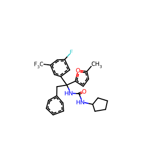 Cc1ccc(C(Cc2ccccc2)(NC(=O)NC2CCCC2)c2cc(F)cc(C(F)(F)F)c2)o1